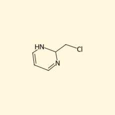 ClCC1N=CC=CN1